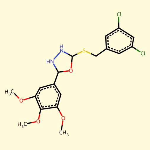 COc1cc(C2NNC(SCc3cc(Cl)cc(Cl)c3)O2)cc(OC)c1OC